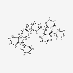 c1ccc(-c2c3ccccc3c(-c3ccc4oc5cc6c7ccccc7n(-c7ccccc7)c6cc5c4c3)c3ccccc23)cc1